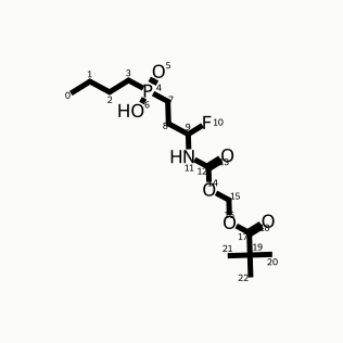 CCCCP(=O)(O)CCC(F)NC(=O)OCOC(=O)C(C)(C)C